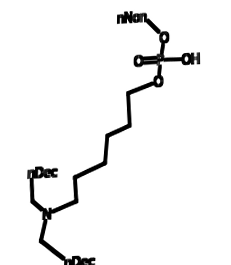 CCCCCCCCCCCN(CCCCCCCCCCC)CCCCCCOP(=O)(O)OCCCCCCCCC